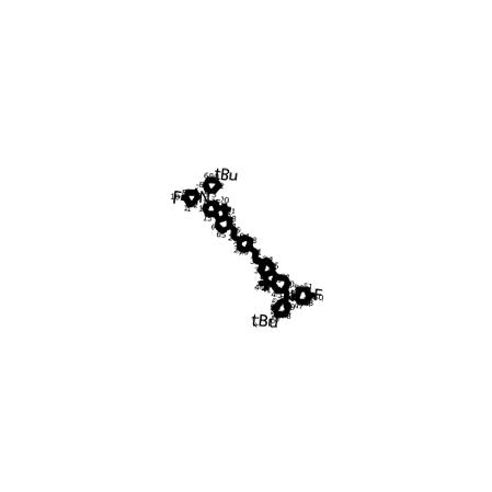 CC(C)(C)c1ccc(N(c2ccc(F)cc2)c2ccc3c(c2)C(C)(C)c2cc(/C=C/c4ccc(/C=C/c5ccc6c(c5)C(C)(C)c5cc(N(c7ccc(F)cc7)c7ccc(C(C)(C)C)cc7)ccc5-6)cc4)ccc2-3)cc1